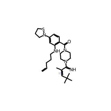 C=CCCCNc1cc(N2CCCS2)ccc1C(=O)N1CCN(C(=N)/C(C)=C\C(C)(C)C)CC1